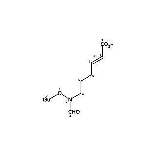 CC(C)(C)ON(C=O)CCC/C=C/C(=O)O